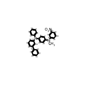 CN(c1ccc(N(c2ccccc2)c2cccc(-c3ccccc3)c2)cc1)c1cccc([N+](=O)[O-])c1